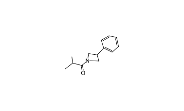 CC(C)C(=O)N1CC(c2ccccc2)C1